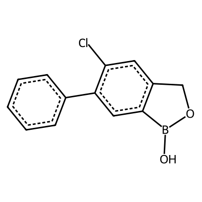 OB1OCc2cc(Cl)c(-c3ccccc3)cc21